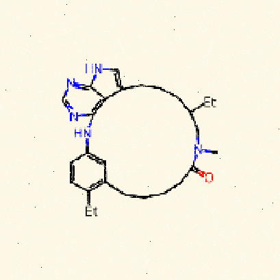 CCc1ccc2cc1CCCCC(=O)N(C)CC(CC)CCCc1c[nH]c3ncnc(c13)N2